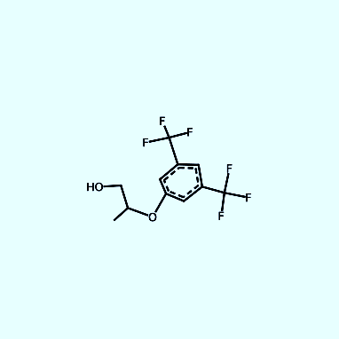 CC(CO)Oc1cc(C(F)(F)F)cc(C(F)(F)F)c1